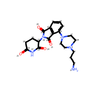 NCCCN1CCN(c2cccc3c2C(=O)N(C2CCC(=O)NC2=O)C3=O)CC1